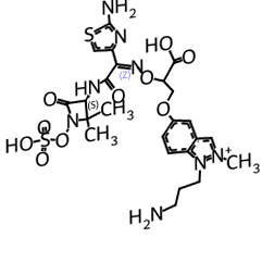 C[n+]1cc2cc(OCC(O/N=C(\C(=O)N[C@@H]3C(=O)N(OS(=O)(=O)O)C3(C)C)c3csc(N)n3)C(=O)O)ccc2n1CCCN